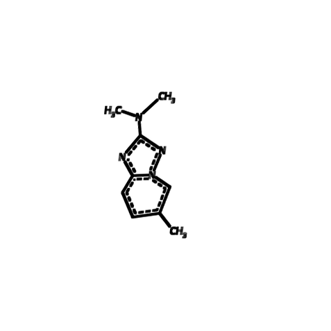 Cc1ccc2nc(N(C)C)nn2c1